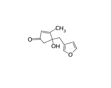 CC1=CC(=O)CC1(O)Cc1ccoc1